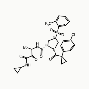 CCC(NC(=O)[C@@H]1C[C@@H](S(=O)(=O)c2ccccc2C(F)(F)F)CN1C(=O)C1(c2ccc(Cl)cc2)CC1)C(=O)C(=O)NC1CC1